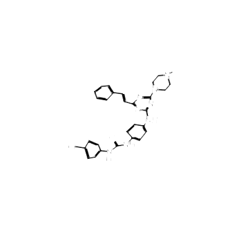 CN1CCN(c2nc(C=Cc3ccccc3)nc(Nc3ccc(NC(=O)Nc4ccc(Cl)cc4)cc3)n2)CC1